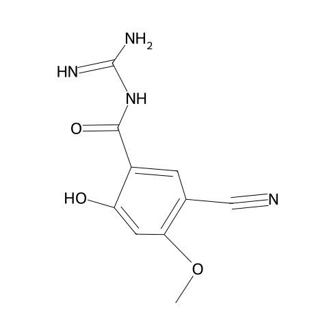 COc1cc(O)c(C(=O)NC(=N)N)cc1C#N